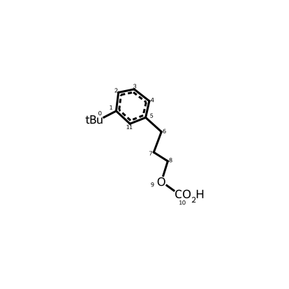 CC(C)(C)c1cccc(CCCOC(=O)O)c1